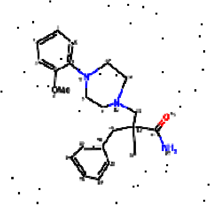 COc1ccccc1N1CCN(CC(C)(Cc2ccccc2)C(N)=O)CC1